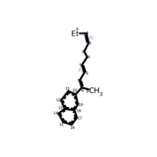 CC/C=C\CC/C=C/C=C(C)c1ccc2ccccc2c1